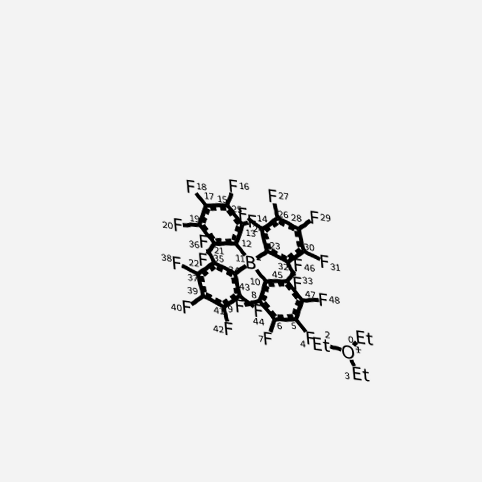 CC[O+](CC)CC.Fc1c(F)c(F)c([B-](c2c(F)c(F)c(F)c(F)c2F)(c2c(F)c(F)c(F)c(F)c2F)c2c(F)c(F)c(F)c(F)c2F)c(F)c1F